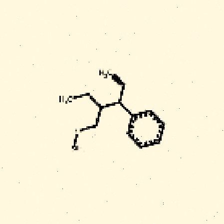 C=CC(c1ccccc1)C(CC)CO[SiH3]